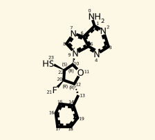 Nc1ncnc2c1ncn2[C@@H]1O[C@H](Cc2ccccc2)[C@@H](F)[C@H]1S